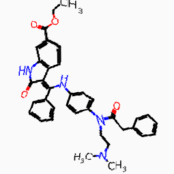 CCOC(=O)c1ccc2c(c1)NC(=O)C2=C(Nc1ccc(N(CCN(C)C)C(=O)Cc2ccccc2)cc1)c1ccccc1